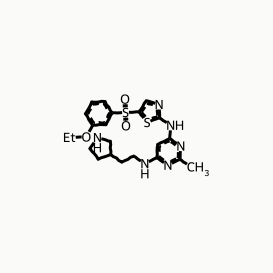 CCOc1cccc(S(=O)(=O)c2cnc(Nc3cc(NCCC4CCNC4)nc(C)n3)s2)c1